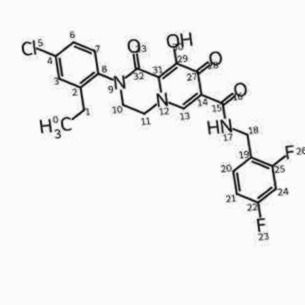 CCc1cc(Cl)ccc1N1CCn2cc(C(=O)NCc3ccc(F)cc3F)c(=O)c(O)c2C1=O